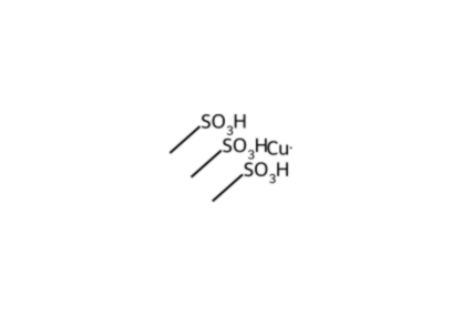 CS(=O)(=O)O.CS(=O)(=O)O.CS(=O)(=O)O.[Cu]